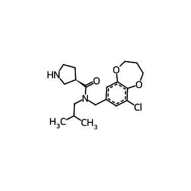 CC(C)CN(Cc1cc(Cl)c2c(c1)OCCCO2)C(=O)[C@@H]1CCNC1